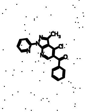 Cc1nn(-c2ccccn2)c2ncc(C(=O)c3ccccc3)c(Cl)c12